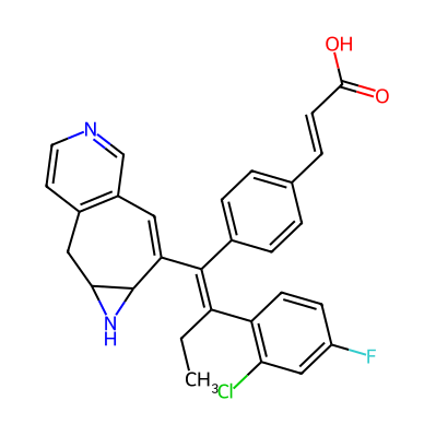 CC/C(=C(\C1=Cc2cnccc2CC2NC12)c1ccc(/C=C/C(=O)O)cc1)c1ccc(F)cc1Cl